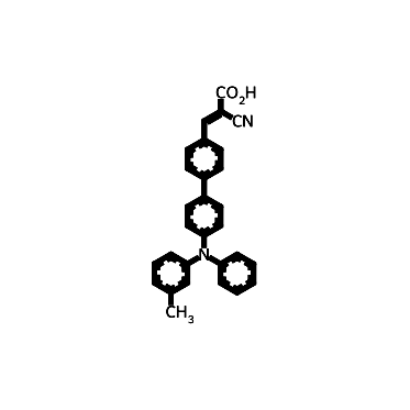 Cc1cccc(N(c2ccccc2)c2ccc(-c3ccc(/C=C(\C#N)C(=O)O)cc3)cc2)c1